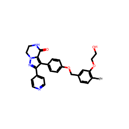 CC(C)c1ccc(COc2ccc(-c3c(-c4ccncc4)nn4c3C(=O)NCC4)cc2)cc1OCCO